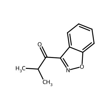 CC(C)C(=O)c1noc2ccccc12